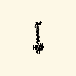 CCC(C)OSCCCCCCSc1nccc(=O)[nH]1